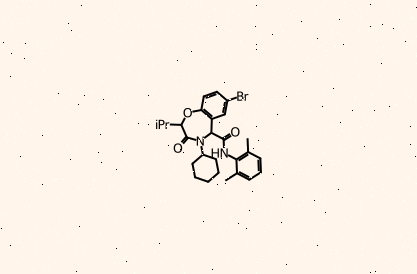 Cc1cccc(C)c1NC(=O)C1c2cc(Br)ccc2OC(C(C)C)C(=O)N1C1CCCCC1